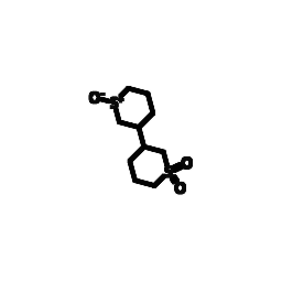 O=S1(=O)CCCC(C2CCC[S+]([O-])C2)C1